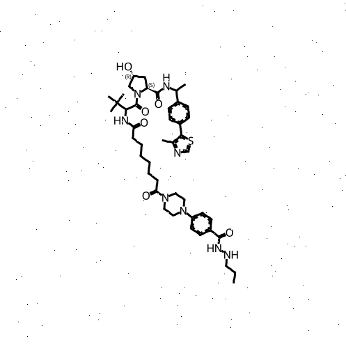 CCCNNC(=O)c1ccc(N2CCN(C(=O)CCCCCCC(=O)NC(C(=O)N3C[C@H](O)C[C@H]3C(=O)NC(C)c3ccc(-c4scnc4C)cc3)C(C)(C)C)CC2)cc1